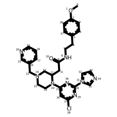 COc1ccc(CCNC(=O)CC2CN(Cc3cccnc3)CCN2c2cc(Cl)nc(-n3ccnc3)n2)cc1